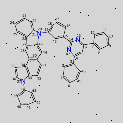 c1ccc(-c2cc(-c3ccccc3)nc(-c3cccc(-n4c5ccccc5c5cc6c(ccc7c6ccn7-c6ccccc6)cc54)c3)n2)cc1